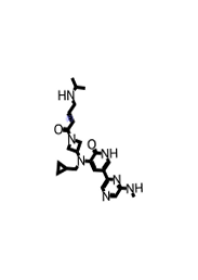 CNc1cncc(-c2c[nH]c(=O)c(N(CC3CC3)C3CN(C(=O)/C=C/CNC(C)C)C3)c2)n1